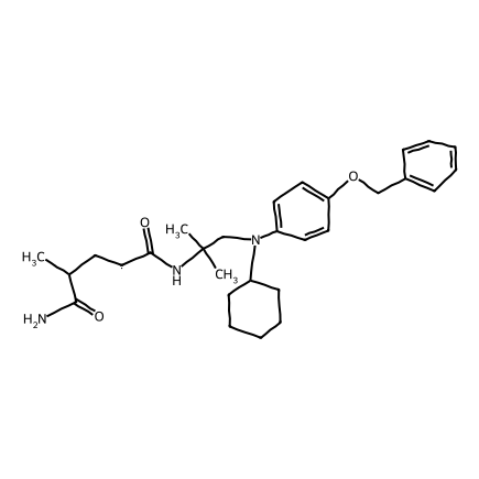 CC(C[CH]C(=O)NC(C)(C)CN(c1ccc(OCc2ccccc2)cc1)C1CCCCC1)C(N)=O